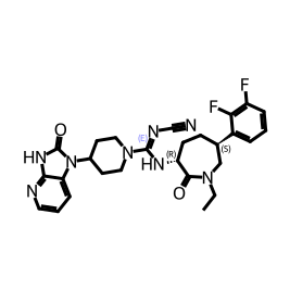 CCN1C[C@H](c2cccc(F)c2F)CC[C@@H](N/C(=N\C#N)N2CCC(n3c(=O)[nH]c4ncccc43)CC2)C1=O